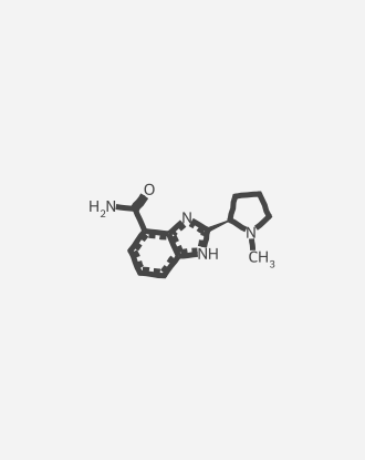 CN1CCC[C@@H]1c1nc2c(C(N)=O)cccc2[nH]1